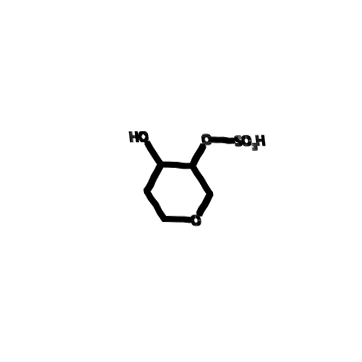 O=S(=O)(O)OC1COCCC1O